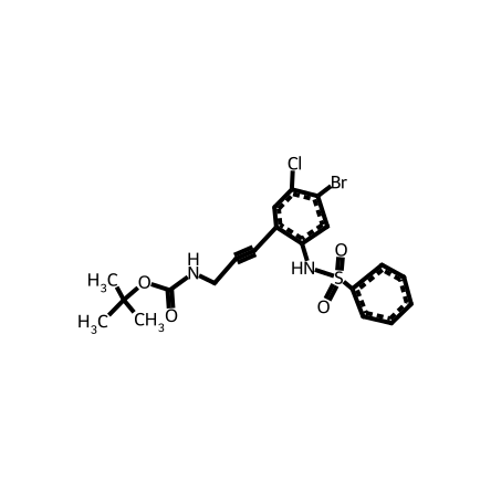 CC(C)(C)OC(=O)NCC#Cc1cc(Cl)c(Br)cc1NS(=O)(=O)c1ccccc1